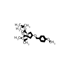 C=CC[C@@]1(C(=O)OC)C[C@@H](OCc2ccc(OC)cc2)CN1C(=O)OC(C)(C)C